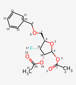 CC(=O)OC1O[C@H](COCc2ccccc2)[C@@H](F)[C@H]1OC(C)=O